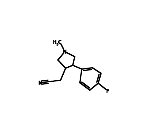 CN1CC(CC#N)C(c2ccc(F)cc2)C1